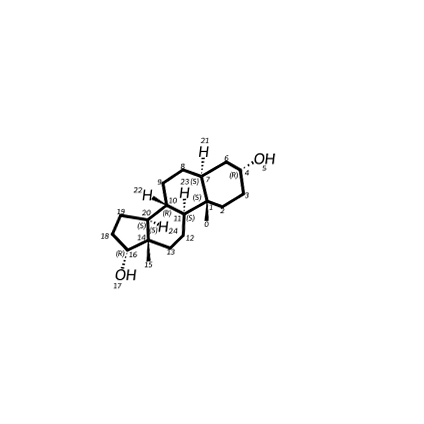 C[C@]12CC[C@@H](O)C[C@@H]1CC[C@@H]1[C@@H]2CC[C@]2(C)[C@H](O)CC[C@@H]12